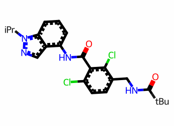 CC(C)n1ncc2c(NC(=O)c3c(Cl)ccc(CNC(=O)C(C)(C)C)c3Cl)cccc21